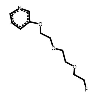 FCCOCCOCCOc1c[c]cnc1